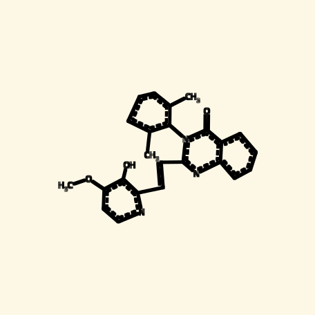 COc1ccnc(/C=C/c2nc3ccccc3c(=O)n2-c2c(C)cccc2C)c1O